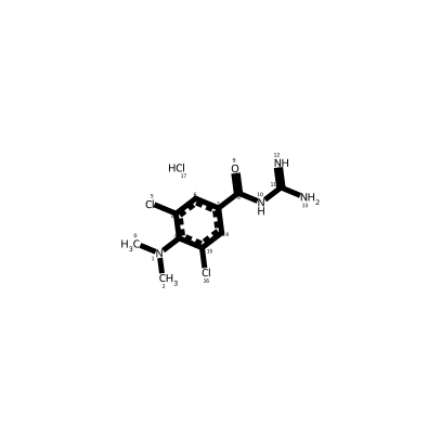 CN(C)c1c(Cl)cc(C(=O)NC(=N)N)cc1Cl.Cl